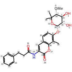 CO[C@@H]1[C@@H](O)[C@H](O)[C@H](Oc2ccc3cc(NC(=O)CCc4ccccc4)c(=O)oc3c2C)OC1(C)C